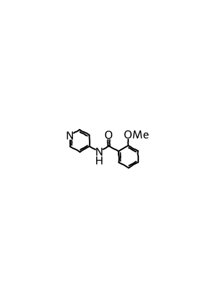 COc1ccccc1C(=O)Nc1ccncc1